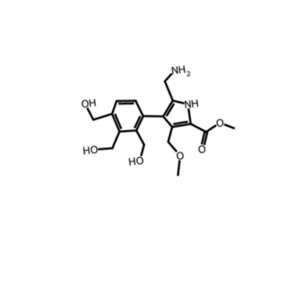 COCc1c(C(=O)OC)[nH]c(CN)c1-c1ccc(CO)c(CO)c1CO